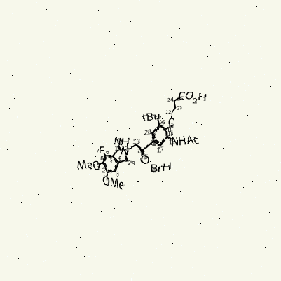 Br.COc1cc2c(c(F)c1OC)C(=N)N(CC(=O)c1cc(NC(C)=O)c(OCCCC(=O)O)c(C(C)(C)C)c1)C2